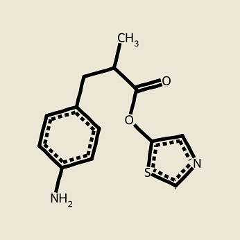 CC(Cc1ccc(N)cc1)C(=O)Oc1cn[c]s1